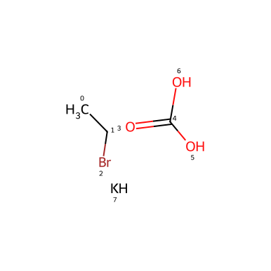 CCBr.O=C(O)O.[KH]